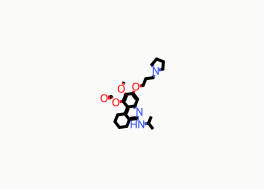 COc1c(OCCCN2CCCC2)cc2nc(NC(C)C)c3c(c2c1OC=O)CCCC3